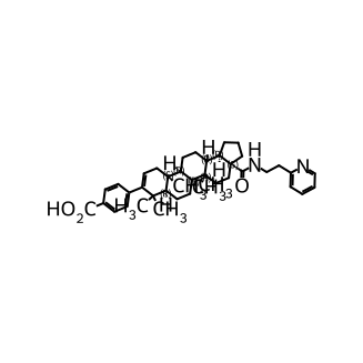 CC1(C)C(c2ccc(C(=O)O)cc2)=CC[C@]2(C)[C@H]3CC[C@@H]4[C@H]5CCC[C@]5(C(=O)NCCc5ccccn5)CC[C@@]4(C)[C@]3(C)CC[C@@H]12